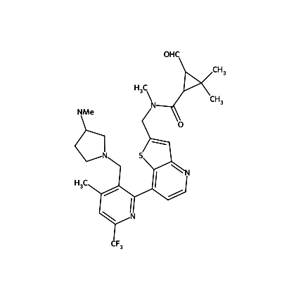 CNC1CCN(Cc2c(C)cc(C(F)(F)F)nc2-c2ccnc3cc(CN(C)C(=O)C4C(C=O)C4(C)C)sc23)C1